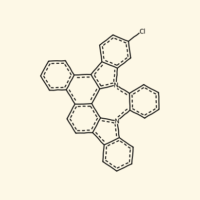 Clc1ccc2c3c4ccccc4c4ccc5c6ccccc6n6c7ccccc7n(c2c1)c3c4c56